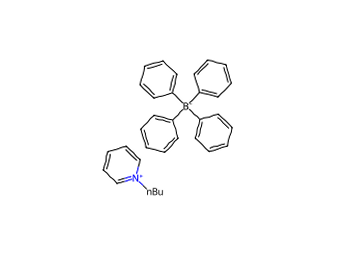 CCCC[n+]1ccccc1.c1ccc([B-](c2ccccc2)(c2ccccc2)c2ccccc2)cc1